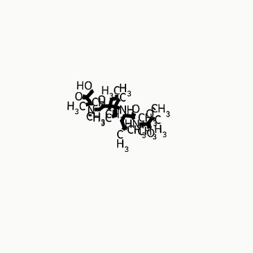 CCCC(C)(C(=O)CN(C)C(C)(C)C(=O)CO)C(CC)(CC)NC(CC(C)C)C(=O)NC(C)(C)C(=O)C(C)OC